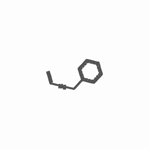 C=[CH][Mg][CH2]c1ccccc1